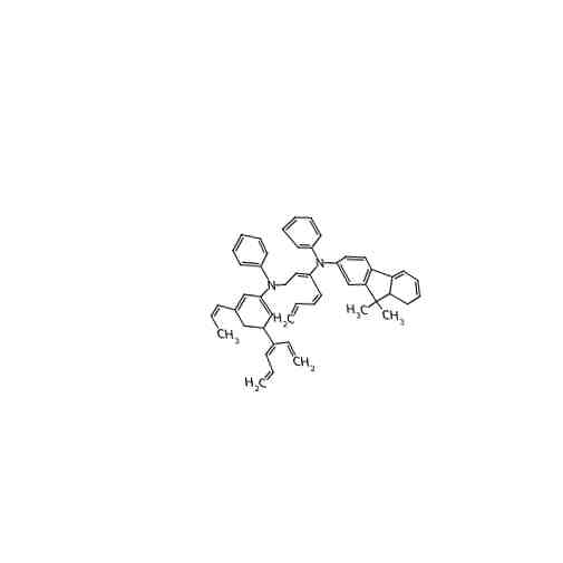 C=C/C=C\C(=C/CN(C1=CC(/C(C=C)=C/C=C)CC(/C=C\C)=C1)c1ccccc1)N(c1ccccc1)c1ccc2c(c1)C(C)(C)C1CC=CC=C21